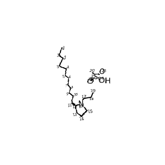 CCCCCCCCCCCC=C1CCCN1CCC.CS(=O)(=O)O